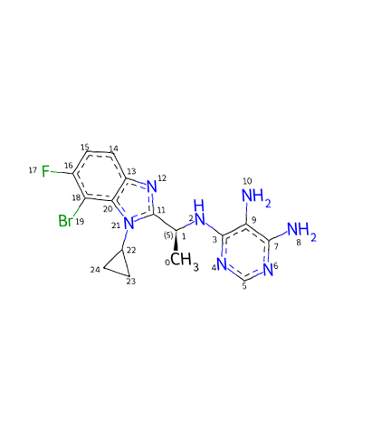 C[C@H](Nc1ncnc(N)c1N)c1nc2ccc(F)c(Br)c2n1C1CC1